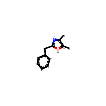 Cc1nc(Cc2ccccc2)oc1C